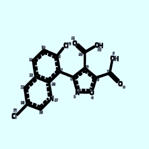 O=C(O)c1onc(-c2c(Cl)ccc3cc(Cl)cnc23)c1C(=O)O